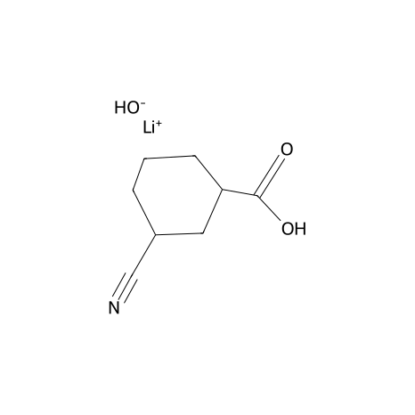 N#CC1CCCC(C(=O)O)C1.[Li+].[OH-]